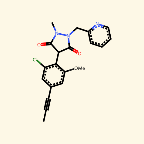 CC#Cc1cc(Cl)c(C2C(=O)N(C)N(Cc3ccccn3)C2=O)c(OC)c1